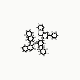 CCC1C(c2ccccc2)=NC(c2ccccc2)=NC1c1cc(-n2c3cc4ccccc4cc3c3c4ccccc4ccc32)c2oc3ccccc3c2c1